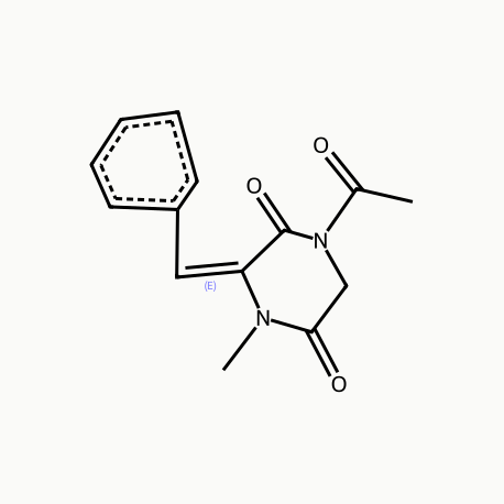 CC(=O)N1CC(=O)N(C)/C(=C/c2ccccc2)C1=O